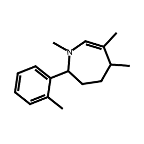 CC1=CN(C)C(c2ccccc2C)CCC1C